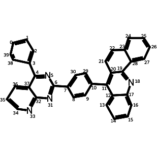 c1ccc(-c2nc(-c3ccc(-c4c5ccccc5nc5c4ccc4ccccc45)cc3)nc3ncccc23)cc1